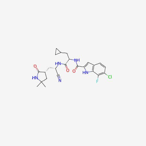 CC1(C)C[C@@H](C[C@@H](C#N)NC(=O)C(CC2CC2)NC(=O)c2cc3ccc(Cl)c(F)c3[nH]2)C(=O)N1